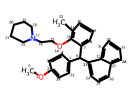 COc1ccc(C(c2cccc(C)c2OCCN2CCCCC2)c2cccc3ccccc23)cc1